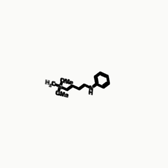 CO[Si](C)(CCCCNc1ccccc1)OC